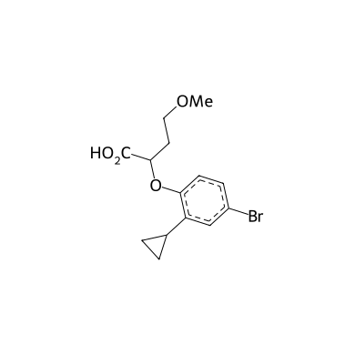 COCCC(Oc1ccc(Br)cc1C1CC1)C(=O)O